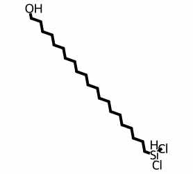 OCCCCCCCCCCCCCCCCCCCCC[SiH](Cl)Cl